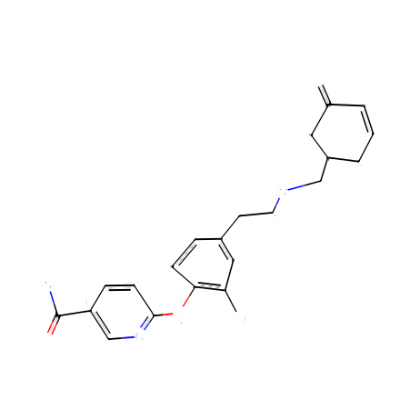 C=C1C=CCC(CNCCc2ccc(Oc3ccc(C(N)=O)cn3)c(C)c2)C1